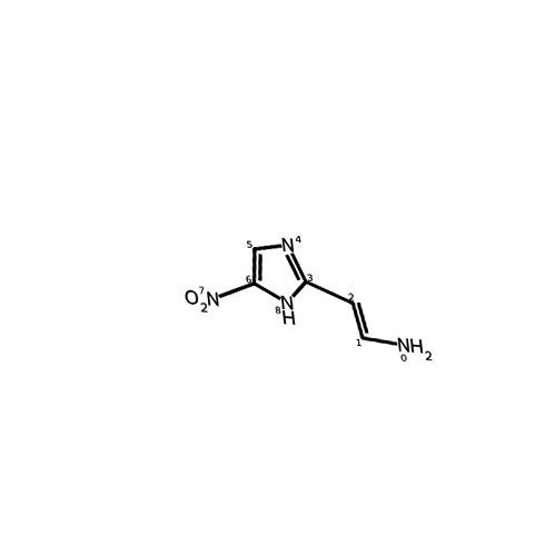 NC=Cc1ncc([N+](=O)[O-])[nH]1